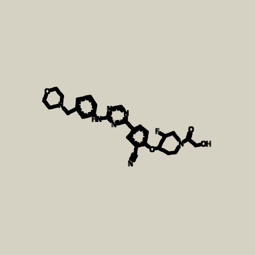 N#Cc1cc(-c2ncnc(Nc3cccc(CN4CCOCC4)c3)n2)ccc1OC1CCN(C(=O)CO)CC1F